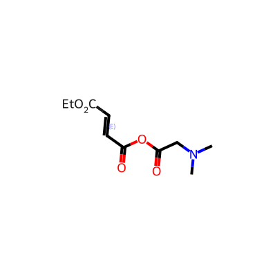 CCOC(=O)/C=C/C(=O)OC(=O)CN(C)C